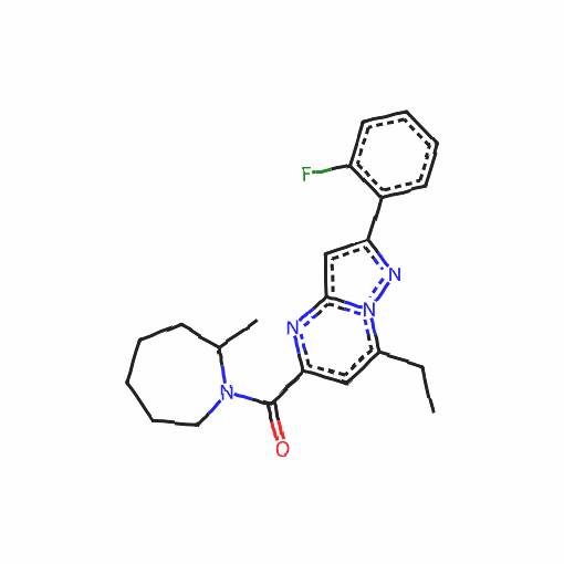 CCc1cc(C(=O)N2CCCCCC2C)nc2cc(-c3ccccc3F)nn12